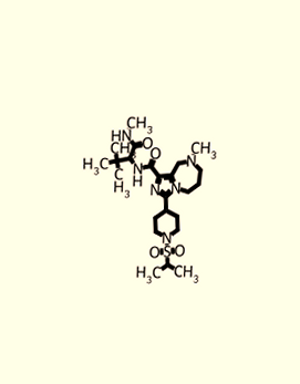 CNC(=O)C(NC(=O)c1nc(C2CCN(S(=O)(=O)C(C)C)CC2)n2c1CN(C)CCC2)C(C)(C)C